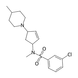 CC1CCN(C2C=CC(N(C)S(=O)(=O)c3cccc(Cl)c3)C2)CC1